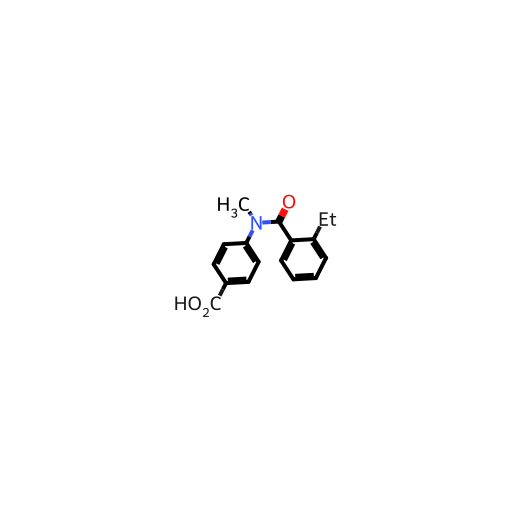 CCc1ccccc1C(=O)N(C)c1ccc(C(=O)O)cc1